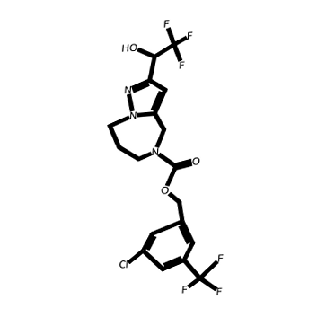 O=C(OCc1cc(Cl)cc(C(F)(F)F)c1)N1CCCn2nc(C(O)C(F)(F)F)cc2C1